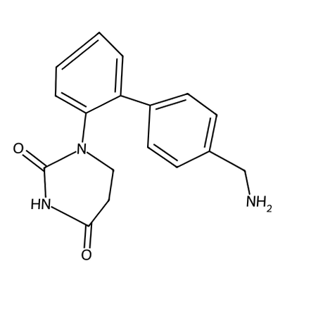 NCc1ccc(-c2ccccc2N2CCC(=O)NC2=O)cc1